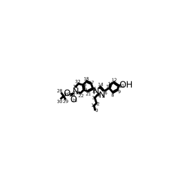 CCCCc1nc(-c2ccc(O)cc2)cn1-c1ccc2c(c1)CN(C(=O)OC(C)(C)C)CC2